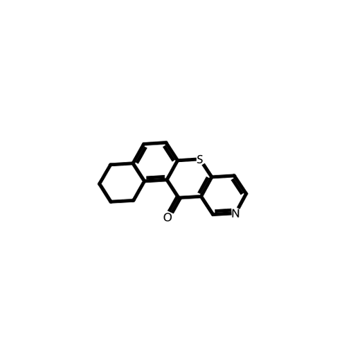 O=c1c2cnccc2sc2ccc3c(c12)CCCC3